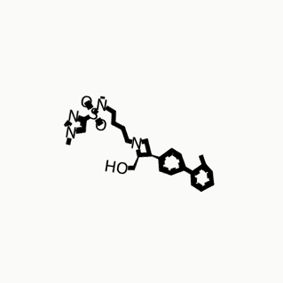 Cc1ccccc1-c1ccc([C@@H]2CN(CCCCN(C)S(=O)(=O)c3cn(C)cn3)[C@@H]2CO)cc1